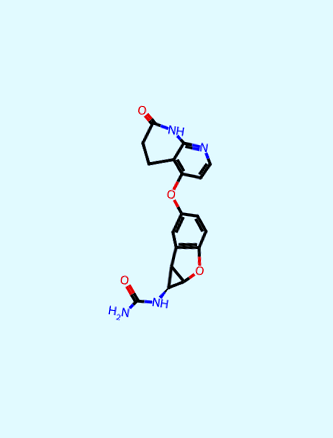 NC(=O)N[C@@H]1C2Oc3ccc(Oc4ccnc5c4CCC(=O)N5)cc3C21